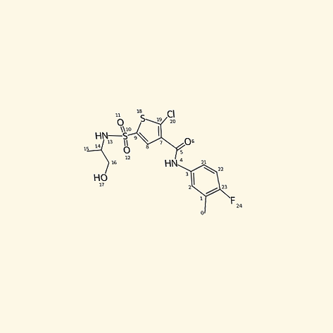 Cc1cc(NC(=O)c2cc(S(=O)(=O)NC(C)CO)sc2Cl)ccc1F